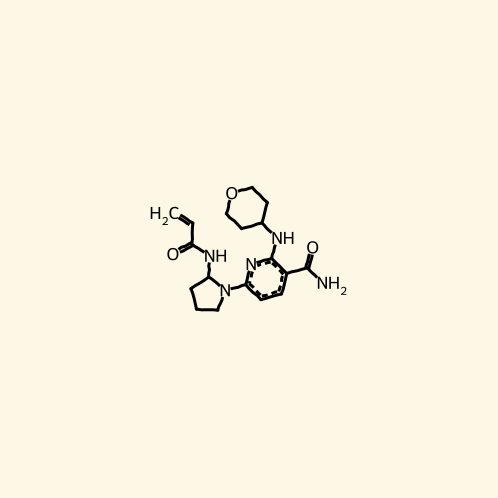 C=CC(=O)NC1CCCN1c1ccc(C(N)=O)c(NC2CCOCC2)n1